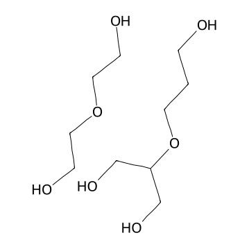 OCCCOC(CO)CO.OCCOCCO